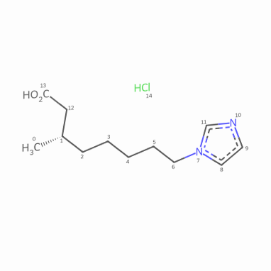 C[C@@H](CCCCCn1ccnc1)CC(=O)O.Cl